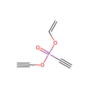 C#COP(=O)(C#C)OC=C